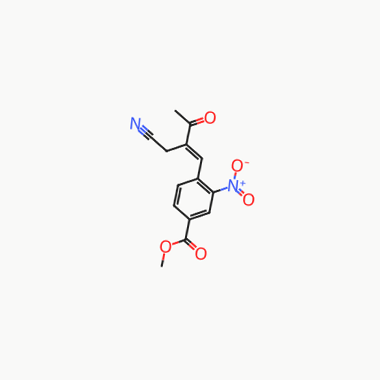 COC(=O)c1ccc(/C=C(\CC#N)C(C)=O)c([N+](=O)[O-])c1